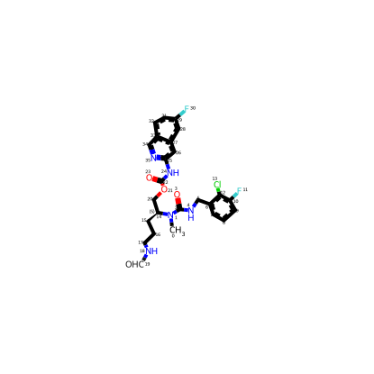 CN(C(=O)NCc1cccc(F)c1Cl)[C@@H](CCCNC=O)COC(=O)Nc1cc2cc(F)ccc2cn1